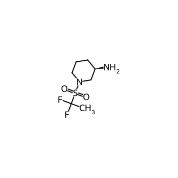 CC(F)(F)S(=O)(=O)N1CCC[C@@H](N)C1